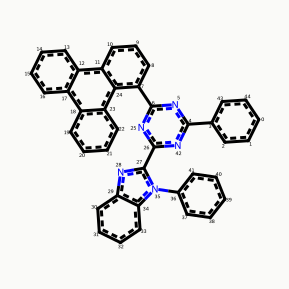 c1ccc(-c2nc(-c3cccc4c5ccccc5c5ccccc5c34)nc(-c3nc4ccccc4n3-c3ccccc3)n2)cc1